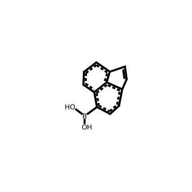 OB(O)c1ccc2c3c(cccc13)C=C2